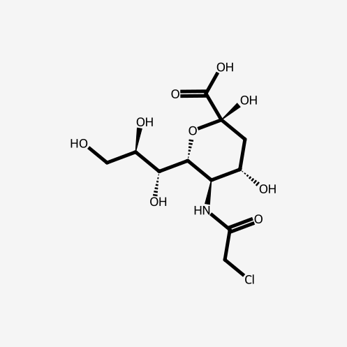 O=C(CCl)N[C@H]1[C@H]([C@H](O)[C@H](O)CO)O[C@](O)(C(=O)O)C[C@@H]1O